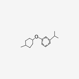 CC1CCC(Oc2cccc(C(C)C)c2)CC1